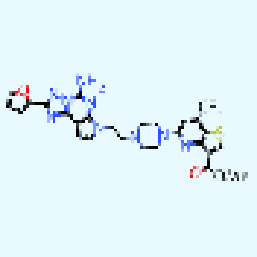 COC(=O)c1csc2c(C(F)(F)F)cc(N3CCN(CCn4ccc5c4nc(N)n4nc(-c6ccco6)nc54)CC3)nc12